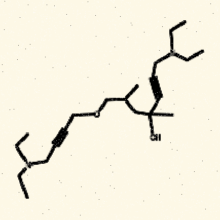 CCN(CC)CC#CCOCC(C)CC(C)(O)C#CCN(CC)CC